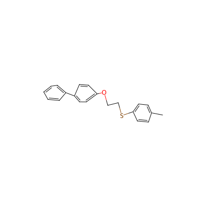 Cc1ccc(SCCOc2ccc(-c3ccccc3)cc2)cc1